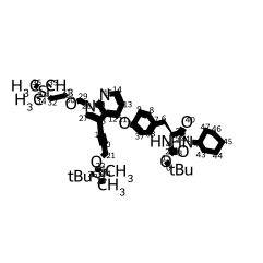 CC(C)(C)OC(=O)N[C@@H](Cc1ccc(Oc2ccnc3c2c(C#CCO[Si](C)(C)C(C)(C)C)cn3COCC[Si](C)(C)C)cc1)C(=O)NC1CCCCC1